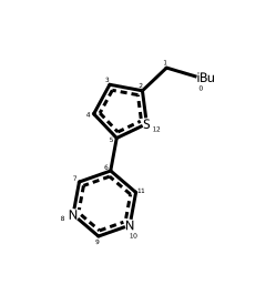 CCC(C)Cc1ccc(-c2cncnc2)s1